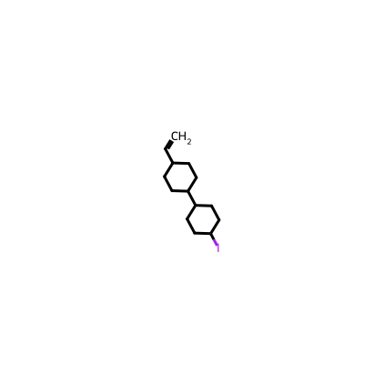 C=CC1CCC(C2CCC(I)CC2)CC1